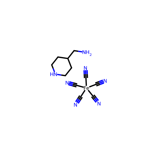 N#[C][Fe]([C]#N)([C]#N)([C]#N)[C]#N.NCC1CCNCC1